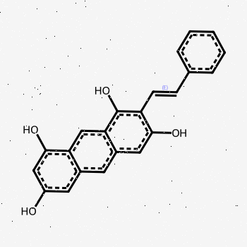 Oc1cc(O)c2cc3c(O)c(/C=C/c4ccccc4)c(O)cc3cc2c1